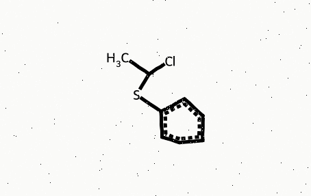 C[C](Cl)Sc1ccccc1